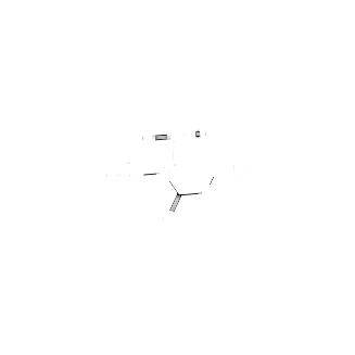 O=C([O-])OC(=O)OC(=O)[O-].[Li].[O]=[U+2]=[O]